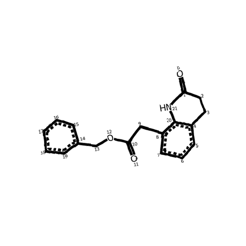 O=C1CCc2cccc(CC(=O)OCc3ccccc3)c2N1